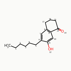 CCCCCCc1cc2c(cc1O)C(=O)CCC2